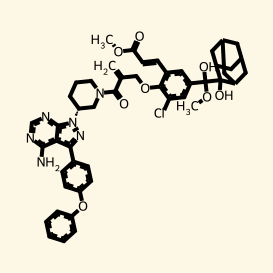 C=C(COc1c(Cl)cc(C(O)(OC)C2(O)C3CC4CC(C3)CC2C4)cc1/C=C/C(=O)OC)C(=O)N1CCC[C@@H](n2nc(-c3ccc(Oc4ccccc4)cc3)c3c(N)ncnc32)C1